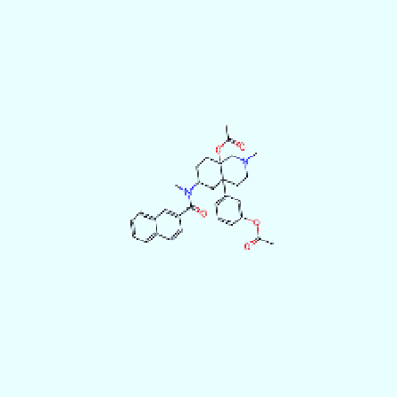 CC(=O)Oc1cccc(C23CCN(C)CC2(OC(C)=O)CCC(N(C)C(=O)c2ccc4ccccc4c2)C3)c1